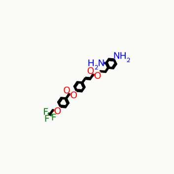 Nc1ccc(CCOC(=O)/C=C/c2ccc(OC(=O)c3ccc(OCC(F)(F)F)cc3)cc2)c(N)c1